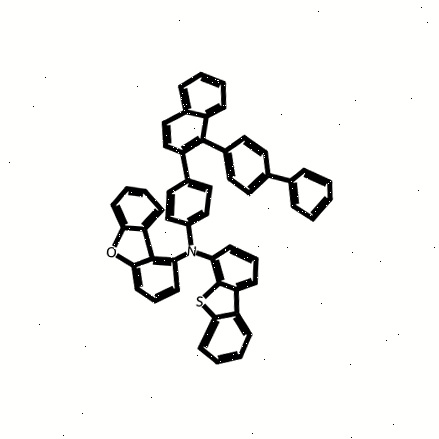 c1ccc(-c2ccc(-c3c(-c4ccc(N(c5cccc6c5sc5ccccc56)c5cccc6oc7ccccc7c56)cc4)ccc4ccccc34)cc2)cc1